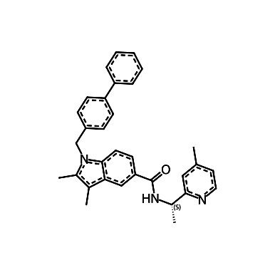 Cc1ccnc([C@H](C)NC(=O)c2ccc3c(c2)c(C)c(C)n3Cc2ccc(-c3ccccc3)cc2)c1